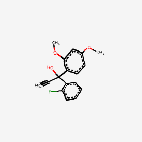 C#CC(O)(c1ccccc1F)c1ccc(OC)cc1OC